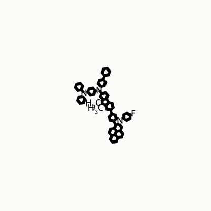 CC1(C)c2cc(-c3ccc4c5c6ccc7cccc8ccc(cc5n(-c5ccc(F)cc5)c4c3)c6c87)ccc2-c2ccc(N(c3ccc(-c4ccccc4)cc3)c3ccc(N(c4ccccc4)c4ccccc4)cc3)cc21